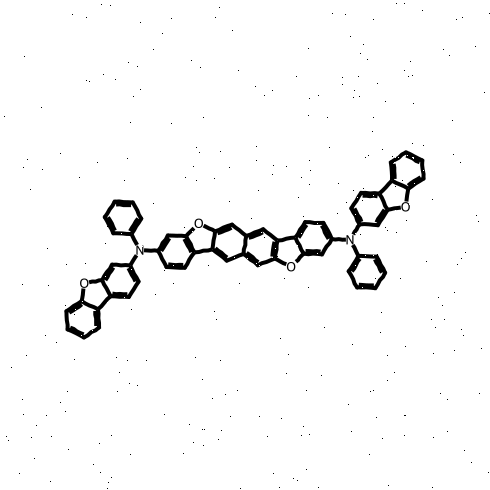 c1ccc(N(c2ccc3c(c2)oc2ccccc23)c2ccc3c(c2)oc2cc4cc5c(cc4cc23)oc2cc(N(c3ccccc3)c3ccc4c(c3)oc3ccccc34)ccc25)cc1